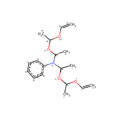 C=COC(C)OC(C)N(c1ccccc1)C(C)OC(C)OC=C